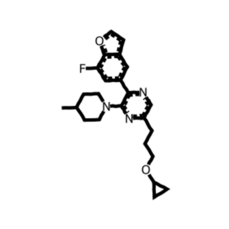 CC1CCN(c2nc(CCCOC3CC3)cnc2-c2cc(F)c3occc3c2)CC1